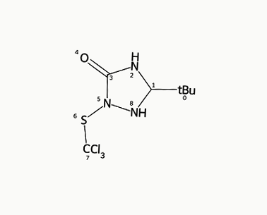 CC(C)(C)C1NC(=O)N(SC(Cl)(Cl)Cl)N1